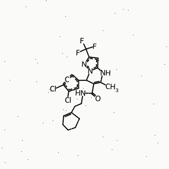 CC1=C(C(=O)NCCC2=CCCCC2)C(c2ccc(Cl)c(Cl)c2)n2nc(C(F)(F)F)cc2N1